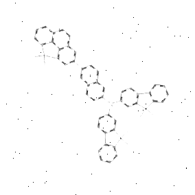 CC1(C)c2ccccc2-c2ccc(N(c3ccc4c(c3)C(C)(C)c3ccccc3-4)c3ccc4cc(-c5cc6c7c(ccc8cccc(c87)C6(C)C)c5)ccc4c3)cc21